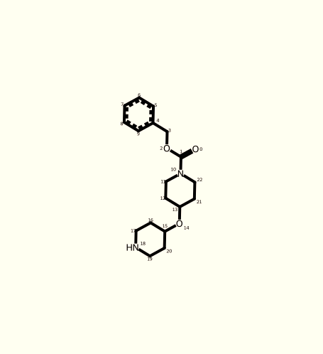 O=C(OCc1ccccc1)N1CCC(OC2CCNCC2)CC1